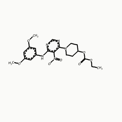 CCOC(=O)OC1CCN(c2ncnc(Nc3cc(OC)cc(OC)c3)c2[N+](=O)[O-])CC1